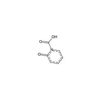 O=C(O)n1ccccc1=O